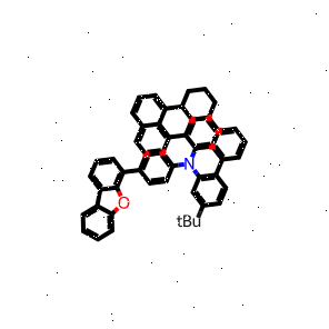 CC(C)(C)c1ccc(-c2ccccc2)c(N(c2ccc(-c3cccc4c3oc3ccccc34)cc2)c2ccccc2-c2cccc3cccc(C4CCCCC4)c23)c1